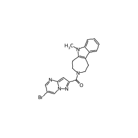 Cn1c2c(c3ccccc31)CCN(C(=O)c1cc3ncc(Br)cn3n1)CC2